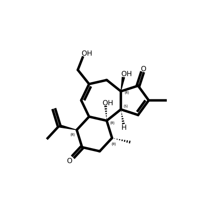 C=C(C)[C@@H]1C(=O)C[C@@H](C)[C@@]2(O)C1C=C(CO)C[C@]1(O)C(=O)C(C)=C[C@@H]21